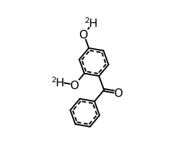 [2H]Oc1ccc(C(=O)c2ccccc2)c(O[2H])c1